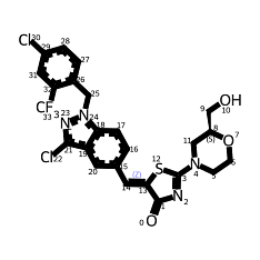 O=C1N=C(N2CCO[C@H](CO)C2)S/C1=C\c1ccc2c(c1)c(Cl)nn2Cc1ccc(Cl)cc1C(F)(F)F